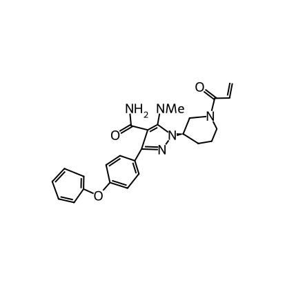 C=CC(=O)N1CCC[C@@H](n2nc(-c3ccc(Oc4ccccc4)cc3)c(C(N)=O)c2NC)C1